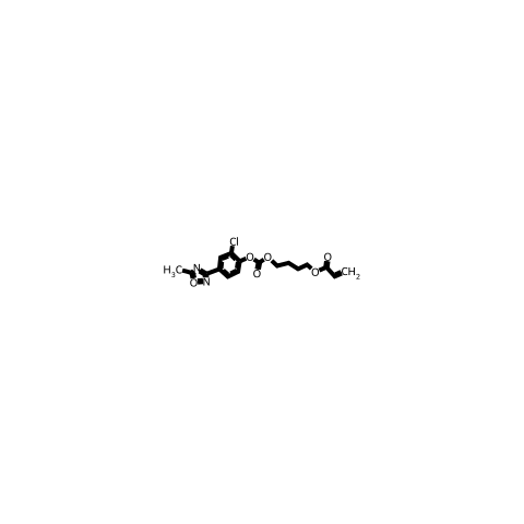 C=CC(=O)OCCCCOC(=O)Oc1ccc(-c2noc(C)n2)cc1Cl